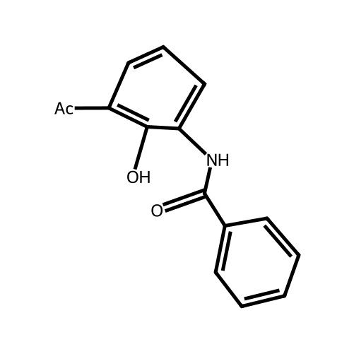 CC(=O)c1cccc(NC(=O)c2ccccc2)c1O